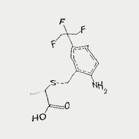 C[C@H](SCc1cc(C(F)(F)F)ccc1N)C(=O)O